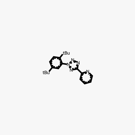 CC(C)(C)c1ccc(C(C)(C)C)c(-n2nnc(-c3ccccn3)n2)c1